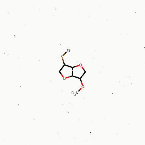 CCSC1COC2C(O[N+](=O)[O-])COC12